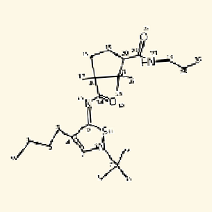 CCCCc1cn(C(C)(C)C)s/c1=N\C(=O)C1(C)CCC(C(=O)NCCC)C1(C)C